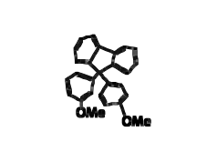 COc1ccc(C2(c3cccc(OC)c3)c3ccccc3-c3ccccc32)cc1